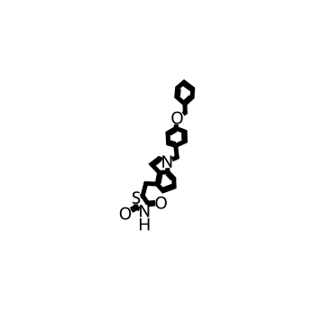 O=C1NC(=O)C(Cc2cccc3c2ccn3Cc2ccc(OCc3ccccc3)cc2)S1